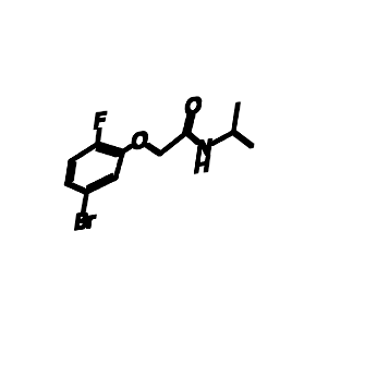 CC(C)NC(=O)COc1cc(Br)ccc1F